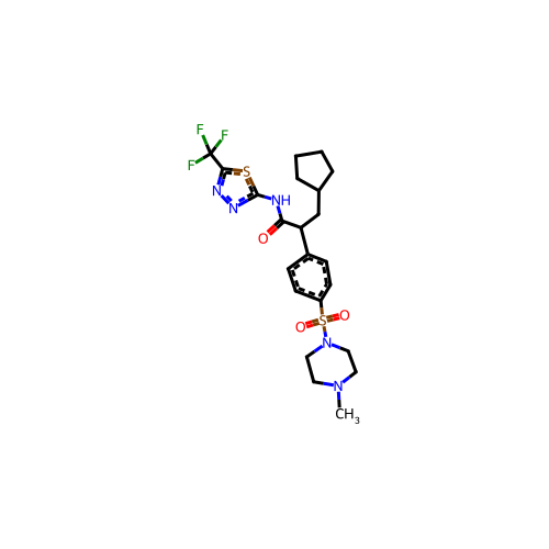 CN1CCN(S(=O)(=O)c2ccc(C(CC3CCCC3)C(=O)Nc3nnc(C(F)(F)F)s3)cc2)CC1